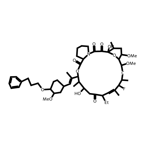 CCC1/C=C(\C)C(F)C(C)CC(OC)C2OC(O)(C(=O)C(=O)N3CCCCC3C(=O)OC(C(C)=CC3CCC(OCCCc4ccccc4)C(OC)C3)C(C)C(O)CC1=O)C(C)CC2OC